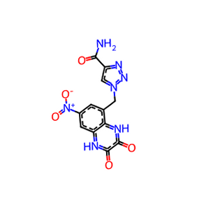 NC(=O)c1cn(Cc2cc([N+](=O)[O-])cc3[nH]c(=O)c(=O)[nH]c23)nn1